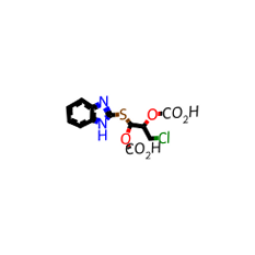 O=C(O)OC(CCl)C(OC(=O)O)Sc1nc2ccccc2[nH]1